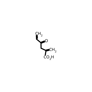 C=CC(=O)CC(=C)C(=O)O